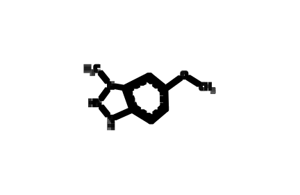 COc1ccc2c(c1)N(C)NN2